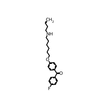 C=CCCNCCCCCCOc1ccc(C(=O)c2ccc(F)cc2)cc1